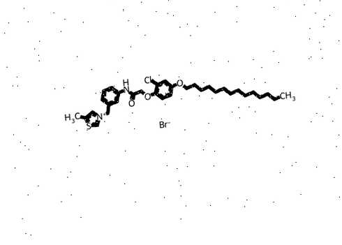 CCCCCCCCCCCCCCOc1ccc(OCC(=O)Nc2cccc(C[n+]3csc(C)c3)c2)c(Cl)c1.[Br-]